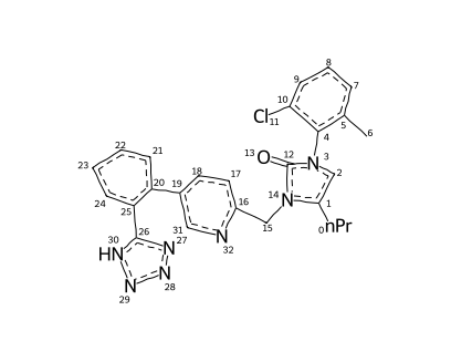 CCCc1cn(-c2c(C)cccc2Cl)c(=O)n1Cc1ccc(-c2ccccc2-c2nnn[nH]2)cn1